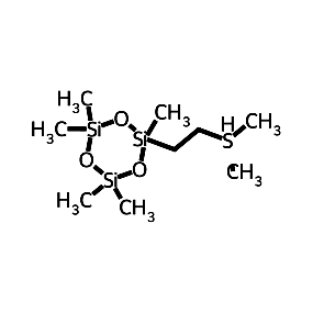 C[SH](C)CC[Si]1(C)O[Si](C)(C)O[Si](C)(C)O1